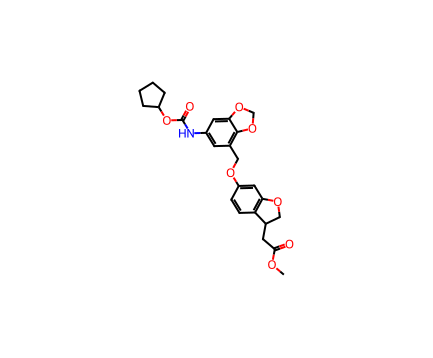 COC(=O)CC1COc2cc(OCc3cc(NC(=O)OC4CCCC4)cc4c3OCO4)ccc21